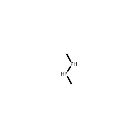 CPPC